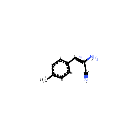 Cc1ccc(/C=C(/N)C#N)cc1